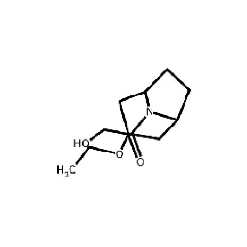 CCOC1CC2CCC(C1)N2C(=O)CO